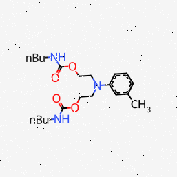 CCCCNC(=O)OCCN(CCOC(=O)NCCCC)c1cccc(C)c1